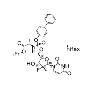 CC(C)OC(=O)C(C)NP(=O)(OC[C@H]1O[C@@H](n2ccc(=O)[nH]c2=O)[C@](C)(F)[C@@H]1O)Oc1ccc(-c2ccccc2)cc1.CCCCCCC